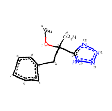 CC(C)(C)OC(Cc1ccccc1)(C(=O)O)c1nnn[nH]1